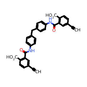 C#Cc1ccc(C(=O)O)c(C(=O)Nc2ccc(Cc3ccc(NC(=O)c4cc(C#C)ccc4C(=O)O)cc3)cc2)c1